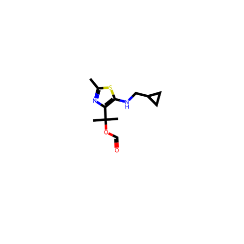 Cc1nc(C(C)(C)OC=O)c(NCC2CC2)s1